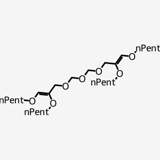 CCCCCOC=C(COCOCOCC(=COCCCCC)OCCCCC)OCCCCC